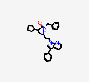 O=C(NCc1ccccc1)C(CCCCn1cc(-c2ccccc2)c2cccnc21)C1CCCC1